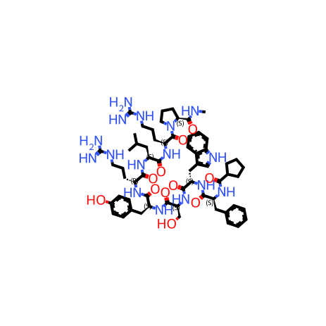 CNC(=O)[C@@H]1CCCN1C(=O)[C@H](CCCNC(=N)N)NC(=O)[C@H](CC(C)C)NC(=O)[C@@H](CCCNC(=N)N)NC(=O)[C@H](Cc1ccc(O)cc1)NC(=O)[C@H](CO)NC(=O)[C@H](Cc1c[nH]c2ccccc12)NC(=O)[C@H](Cc1ccccc1)NC(=O)C1CCCC1